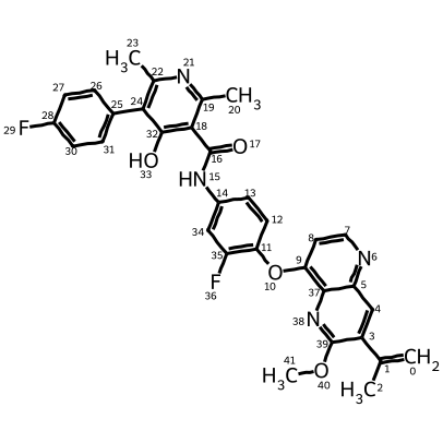 C=C(C)c1cc2nccc(Oc3ccc(NC(=O)c4c(C)nc(C)c(-c5ccc(F)cc5)c4O)cc3F)c2nc1OC